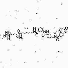 N=C(N)NCCCC(N)C(=O)NCCCCCCNC(=O)c1cccc(NC(=O)c2ccc(CN(C(=O)c3ccc4c(c3)OCC(=O)N4)C3CC3)cc2)c1